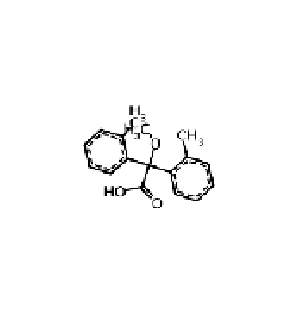 COC(C(=O)O)(c1ccccc1C)c1ccccc1C